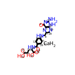 Nc1nc(=O)c2nc(CNc3ccc(C(=O)N[C@@H](CCC(=O)O)C(=O)O)cc3)cnc2[nH]1.[CaH2]